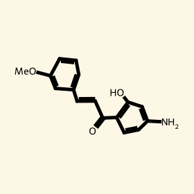 COc1cccc(/C=C/C(=O)c2ccc(N)cc2O)c1